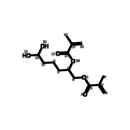 C=C(C)C(=O)OCC(CCCC(O)O)OC(=O)C(=C)C